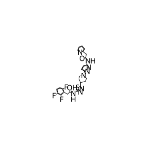 O=C(Cc1ccccn1)Nc1ccc(N2CCC(c3nnc(NC(O)Cc4c(F)ccc(F)c4F)s3)CC2)nn1